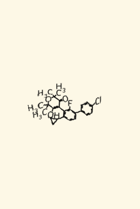 CC1(C)OC(C)(C)C(O)=C(c2c(C3CC3)ccc(-c3ccc(Cl)cc3)c2F)C1=O